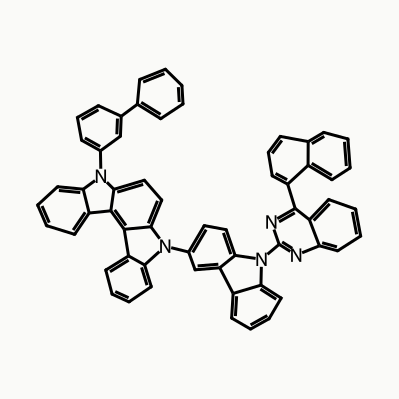 c1ccc(-c2cccc(-n3c4ccccc4c4c5c6ccccc6n(-c6ccc7c(c6)c6ccccc6n7-c6nc(-c7cccc8ccccc78)c7ccccc7n6)c5ccc43)c2)cc1